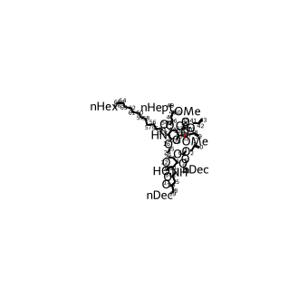 C=CCOC(=O)O[C@H]1[C@H](OCCCCCCCCCC)[C@@H](NC(=O)CC(=O)CCCCCCCCCCC)C(O)O[C@@H]1CCO[C@@H]1O[C@H](COC)[C@@H](OP(=O)(OCC=C)OCC=C)[C@H](OCC[C@@H](CCCCCCC)OC)[C@H]1NC(=O)CCCCCCCCC/C=C\CCCCCC